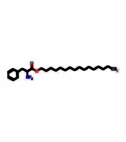 CCCCCCCCCCCCCCCCOC(=O)C(N)Cc1ccccc1